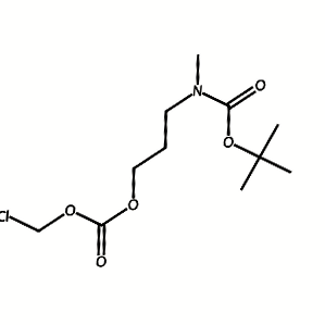 CN(CCCOC(=O)OCCl)C(=O)OC(C)(C)C